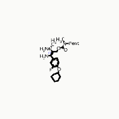 CCCC(C)N(C)C(=O)OC/C(=C(/N)c1ccc(OC2CCCCC2)c(F)c1)N(C)N